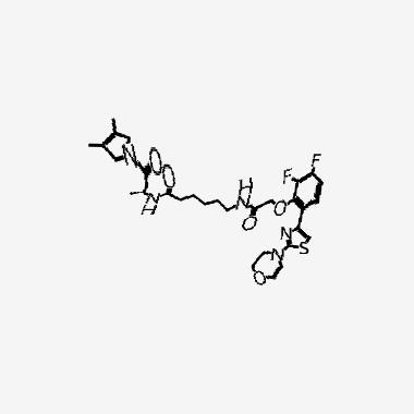 CC1=C(C)CN(C(=O)[C@H](C)NC(=O)CCCCCNC(=O)COc2c(-c3csc(N4CCOCC4)n3)ccc(F)c2F)C1